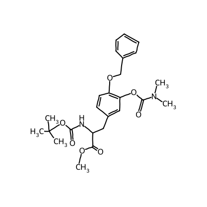 COC(=O)C(Cc1ccc(OCc2ccccc2)c(OC(=O)N(C)C)c1)NC(=O)OC(C)(C)C